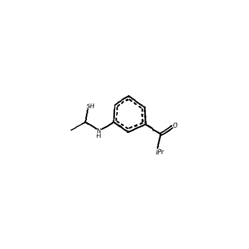 CC(S)Nc1cccc(C(=O)C(C)C)c1